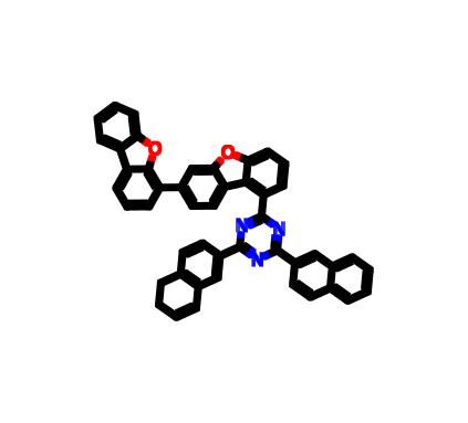 C1=Cc2cc(-c3nc(-c4ccc5ccccc5c4)nc(-c4cccc5oc6cc(-c7cccc8c7oc7ccccc78)ccc6c45)n3)ccc2CC1